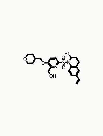 C=Cc1ccc2c(c1)CCC(CC)N2S(=O)(=O)c1ccc(OCC2CCOCC2)c(CO)n1